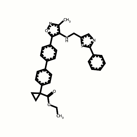 CCOC(=O)C1(c2ccc(-c3ccc(-c4onc(C)c4NCc4cnc(-c5ccccc5)s4)cc3)cc2)CC1